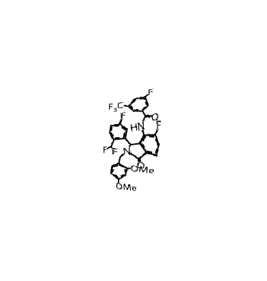 COc1ccc(CN2C(=O)c3ccc(F)c(NC(=O)c4cc(F)cc(C(F)(F)F)c4)c3C2c2cc(F)ccc2C(F)F)c(OC)c1